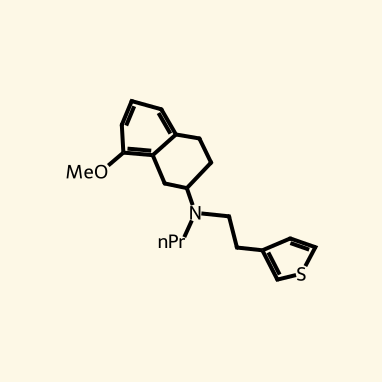 CCCN(CCc1ccsc1)C1CCc2cccc(OC)c2C1